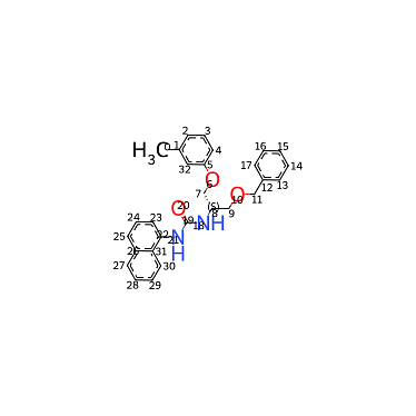 Cc1cccc(OC[C@H](COCc2ccccc2)NC(=O)Nc2cccc3ccccc23)c1